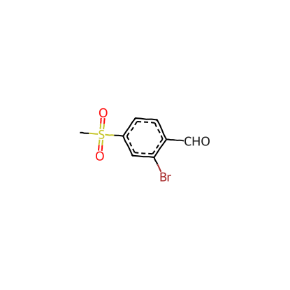 CS(=O)(=O)c1ccc(C=O)c(Br)c1